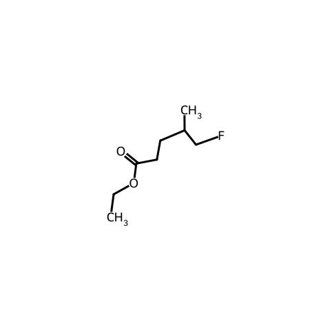 CCOC(=O)CCC(C)CF